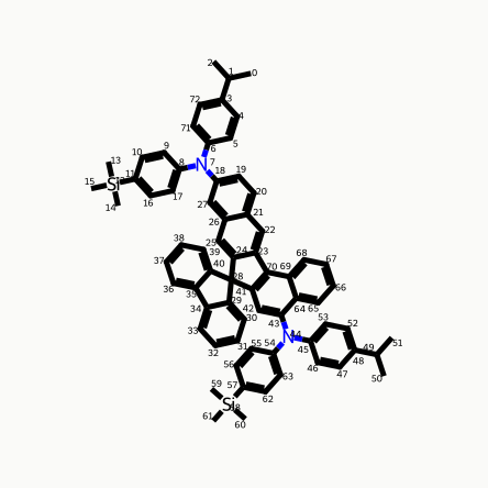 CC(C)c1ccc(N(c2ccc([Si](C)(C)C)cc2)c2ccc3cc4c(cc3c2)C2(c3ccccc3-c3ccccc32)c2cc(N(c3ccc(C(C)C)cc3)c3ccc([Si](C)(C)C)cc3)c3ccccc3c2-4)cc1